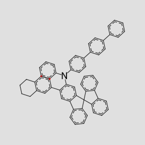 c1ccc(-c2ccc(-c3ccc(N(c4ccccc4)c4cc5c(cc4-c4ccc6c(c4)CCCC6)-c4ccccc4C54c5ccccc5-c5ccccc54)cc3)cc2)cc1